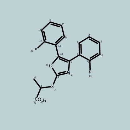 CC(Sc1nc(-c2ccccc2F)c(-c2ccccc2F)o1)C(=O)O